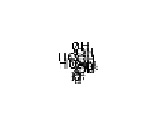 OC[C@@H](O)[C@@H](O)[C@H](O)[C@@H](O)C(O)(Cc1ccccc1)Cc1ccccc1